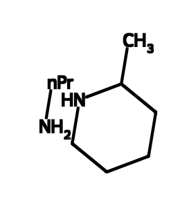 CC1CCCCN1.CCCN